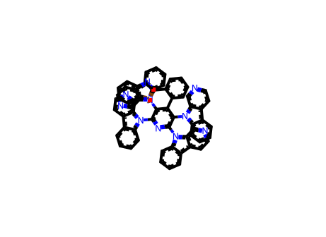 c1ccc(-c2c(-n3c4ccccc4c4ccncc43)c(-n3c4ccccc4c4ccncc43)nc(-n3c4ccccc4c4ccncc43)c2-n2c3ccccc3c3ccncc32)c(-c2nc3ccccc3s2)c1